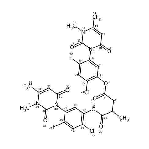 CC(CC(=O)Oc1cc(-n2c(=O)cc(C(F)(F)F)n(C)c2=O)c(F)cc1Cl)C(=O)Oc1cc(-n2c(=O)cc(C(F)(F)F)n(C)c2=O)c(F)cc1Cl